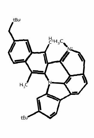 Cc1c2cc(CC(C)(C)C)ccc2c(C)c2c1c1c3c(ccc4c5ccc(C(C)(C)C)cc5n2c43)cc[n+]1C